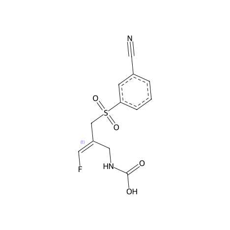 N#Cc1cccc(S(=O)(=O)C/C(=C/F)CNC(=O)O)c1